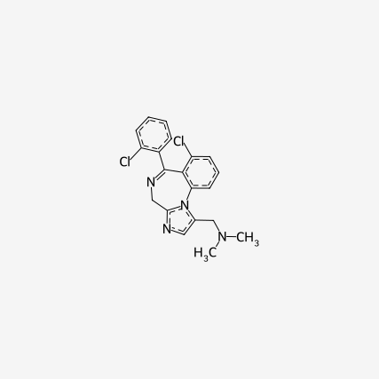 CN(C)Cc1cnc2n1-c1cccc(Cl)c1C(c1ccccc1Cl)=NC2